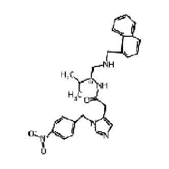 CC(C)[C@@H](CNCc1cccc2ccccc12)NC(=O)Cc1cncn1Cc1ccc([N+](=O)[O-])cc1